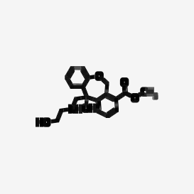 COC(=O)c1cccc2c1COc1ccccc1C2(O)CNCCO